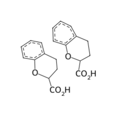 O=C(O)C1CCc2ccccc2O1.O=C(O)C1CCc2ccccc2O1